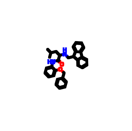 CC(C)CC(NCC1c2ccccc2-c2ccccc21)C(=O)Nc1ccccc1OCc1ccccc1